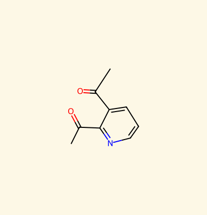 CC(=O)c1cccnc1C(C)=O